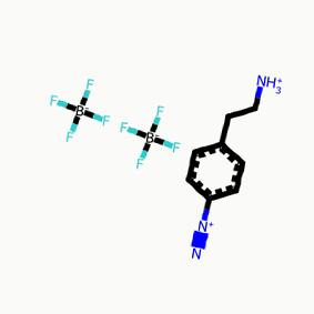 F[B-](F)(F)F.F[B-](F)(F)F.N#[N+]c1ccc(CC[NH3+])cc1